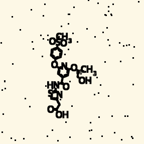 C[C@H](CO)Oc1cc(C(=O)Nc2nc(CC(=O)O)cs2)cc(Oc2ccc(S(C)(=O)=O)cc2)n1